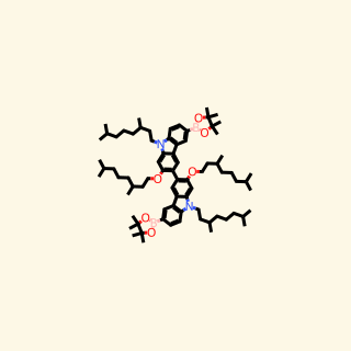 CC(C)CCCC(C)CCOc1cc2c(cc1-c1cc3c4cc(B5OC(C)(C)C(C)(C)O5)ccc4n(CCC(C)CCCC(C)C)c3cc1OCCC(C)CCCC(C)C)c1cc(B3OC(C)(C)C(C)(C)O3)ccc1n2CCC(C)CCCC(C)C